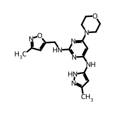 Cc1cc(Nc2cc(N3CCOCC3)nc(NCc3cc(C)no3)n2)[nH]n1